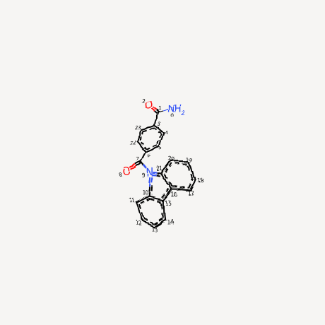 NC(=O)c1ccc(C(=O)n2c3ccccc3c3ccccc32)cc1